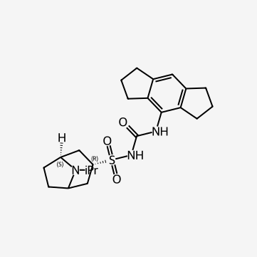 CC(C)N1C2CC[C@H]1C[C@H](S(=O)(=O)NC(=O)Nc1c3c(cc4c1CCC4)CCC3)C2